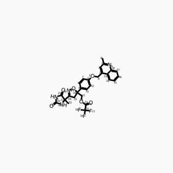 Cc1cc(COc2ccc(C3(COC(=O)C(F)(F)F)CC(C4(C)NC(=O)NC4=O)=NO3)cc2)c2ccccc2n1